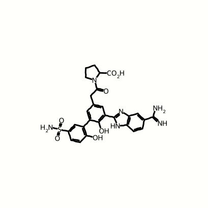 N=C(N)c1ccc2[nH]c(-c3cc(CC(=O)N4CCCC4C(=O)O)cc(-c4cc(S(N)(=O)=O)ccc4O)c3O)nc2c1